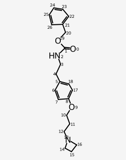 O=C(NCCc1ccc(OCCCN2CCC2)cc1)OCc1ccccc1